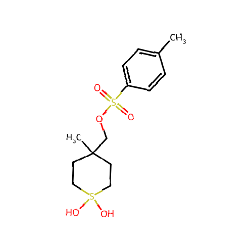 Cc1ccc(S(=O)(=O)OCC2(C)CCS(O)(O)CC2)cc1